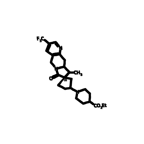 CCOC(=O)C1CCN(C2CC[C@@]3(C2)C(=O)N2Cc4cc(C(F)(F)F)cnc4CC2C3C)CC1